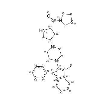 Cc1c(N2CCN([C@@H]3CN[C@H](C(=O)N4CCSC4)C3)CC2)n(-c2ccccc2)c2ccccc12